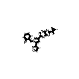 CC1(c2nc3nnc(-c4cc(-c5ccon5)n(Cc5ccccc5F)n4)nc3o2)CC1